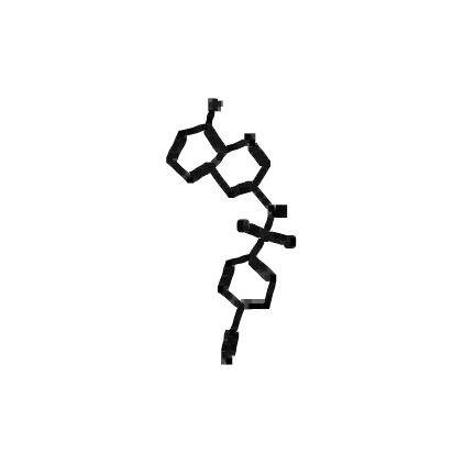 N#Cc1ccc(S(=O)(=O)Nc2cnc3c(Br)cccc3c2)cc1